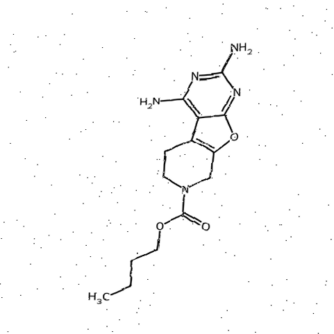 CCCCOC(=O)N1CCc2c(oc3nc(N)nc(N)c23)C1